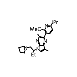 CCC(CN1CCCC1)n1cc(C)c2nc(-c3ccc(C(C)C)nc3OC)c(C)nc21